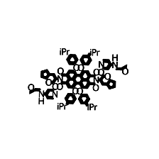 CC(C)c1ccc(Oc2cc3c4c(cc(Oc5ccc(C(C)C)cc5)c5c6c(Oc7ccc(C(C)C)cc7)cc7c8c(cc(Oc9ccc(C(C)C)cc9)c(c2c45)c86)C(=O)N(C(CC2CCCC2)C(=O)Oc2cc(NCC4CO4)ccn2)C7=O)C(=O)N(C(CC2CCCC2)C(=O)Oc2cc(NCC4CO4)ccn2)C3=O)cc1